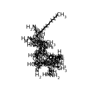 CCCCCCCCCCCCCCCC(=O)N[C@@H](CCCCN)C(=O)N[C@@H](CCCCN)C(=O)N[C@@H](CC(C)C)C(=O)N[C@@H](CCCNC(=N)N)C(=O)N[C@@H](CO)C(=O)N[C@@H](CCSC)C(=O)N[C@H](C(=O)N[C@@H](CC(=O)O)C(=O)N[C@H](CCCCN)C(=O)N[C@@H](Cc1ccc(O)cc1)C(=O)N[C@@H](CCCNC(=N)N)C(=O)N[C@@H](CC(C)C)C(=O)N[C@@H](Cc1c[nH]cn1)C(N)=O)[C@@H](C)O